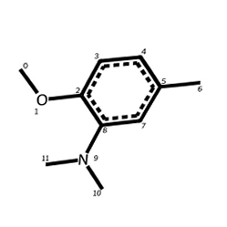 COc1ccc(C)cc1N(C)C